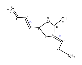 C=C/C=C/C1C/C(=C\CC)C(O)O1